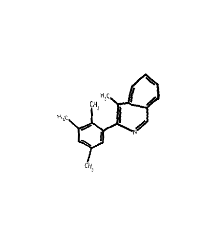 Cc1cc(C)c(C)c(-c2ncc3ccccc3c2C)c1